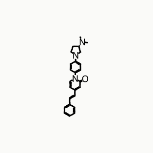 CN(C)C1CCN(c2ccc(-n3ccc(/C=C/c4ccccc4)cc3=O)cc2)C1